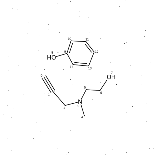 C#CCN(C)CCO.Oc1ccccc1